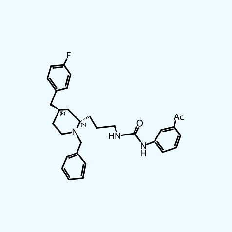 CC(=O)c1cccc(NC(=O)NCCC[C@H]2C[C@H](Cc3ccc(F)cc3)CCN2Cc2ccccc2)c1